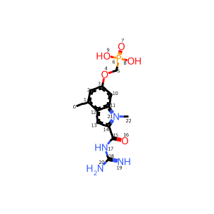 Cc1cc(OCP(=O)(O)O)cc2c1cc(C(=O)NC(=N)N)n2C